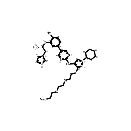 COCCOCCOCCOc1nn(C2CCCCC2)cc1Nc1ncc(-c2ccc(C#N)c(O[C@@H](C)Cn3cncn3)c2)cn1